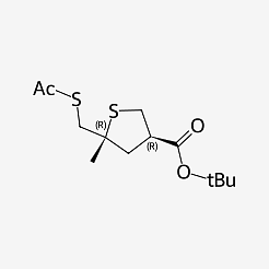 CC(=O)SC[C@@]1(C)C[C@H](C(=O)OC(C)(C)C)CS1